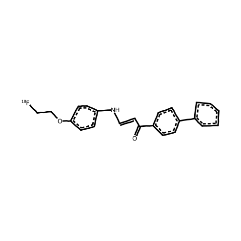 O=C(C=CNc1ccc(OCC[18F])cc1)c1ccc(-c2ccccc2)cc1